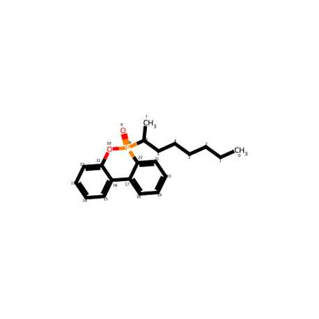 CCCCCCC(C)P1(=O)Oc2ccccc2-c2ccccc21